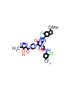 CCc1c(N2CCN(C(=O)c3ncnc(C)c3O)CC2)c(=O)n2nc(-c3cc4c(cc3F)C(OC)CC4)nc2n1CC(=O)Nc1ccc(C(F)(F)F)cc1Cl